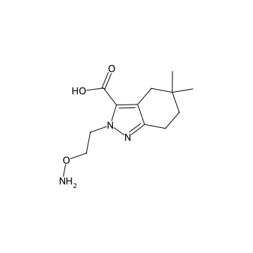 CC1(C)CCc2nn(CCON)c(C(=O)O)c2C1